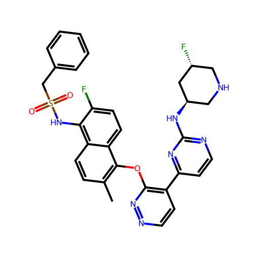 Cc1ccc2c(NS(=O)(=O)Cc3ccccc3)c(F)ccc2c1Oc1nnccc1-c1ccnc(N[C@@H]2CNC[C@@H](F)C2)n1